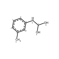 Cc1cccc(NC(O)O)c1